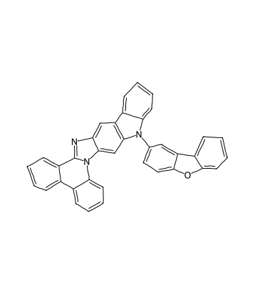 c1ccc2c(c1)oc1ccc(-n3c4ccccc4c4cc5nc6c7ccccc7c7ccccc7n6c5cc43)cc12